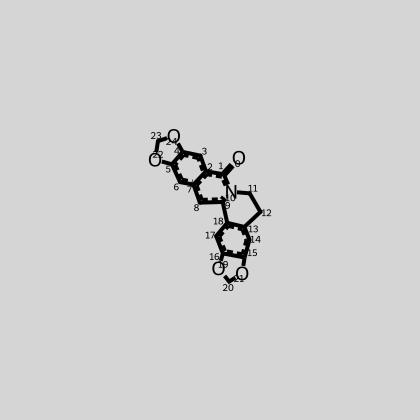 O=c1c2cc3c(cc2cc2n1CCc1cc4c(cc1-2)OCO4)OCO3